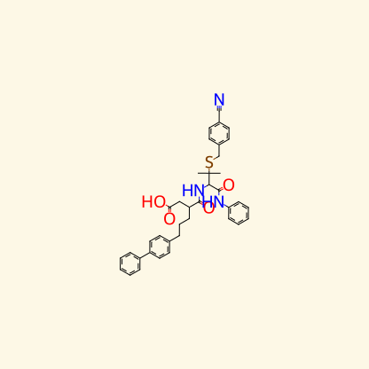 CC(C)(SCc1ccc(C#N)cc1)C(NC(=O)C(CCCc1ccc(-c2ccccc2)cc1)CC(=O)O)C(=O)Nc1ccccc1